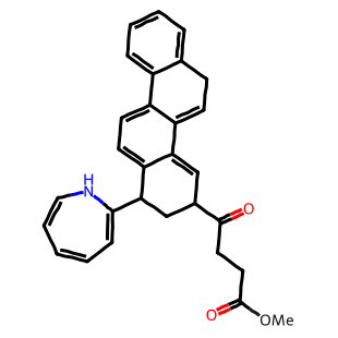 COC(=O)CCC(=O)C1C=c2c(ccc3c2=CCc2ccccc2-3)C(C2=CC=CC=CN2)C1